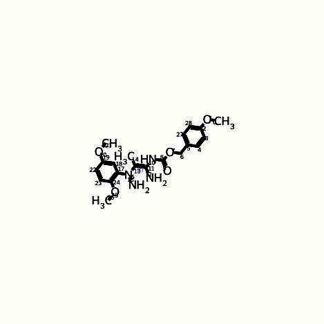 COc1ccc(COC(=O)N/C(N)=C(\C)N(N)c2cc(OC)ccc2OC)cc1